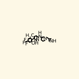 Cc1cc(N[C@@H]2CCCN(CC3CNC3)C2)nnc1-c1ccc(C(F)(F)F)cc1O